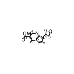 COC(=O)c1cnc2c(ccn2C2COC2)c1